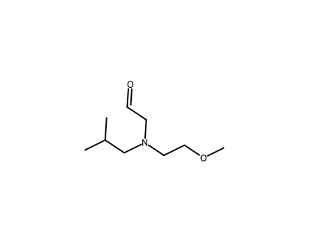 COCCN(CC=O)CC(C)C